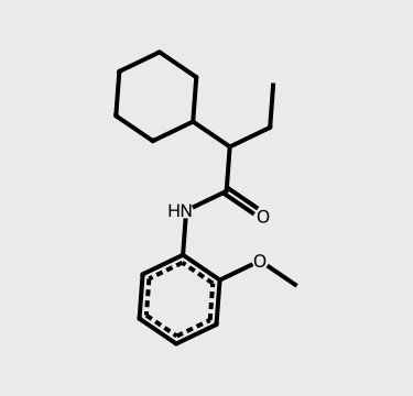 CCC(C(=O)Nc1ccccc1OC)C1CCCCC1